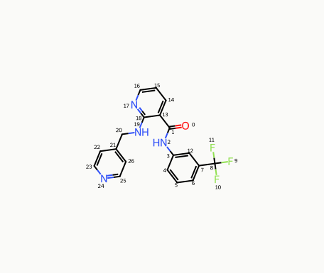 O=C(Nc1cccc(C(F)(F)F)c1)c1cccnc1NCc1ccncc1